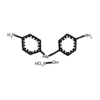 Nc1ccc(Nc2ccc(N)cc2)cc1.O=S(=O)(O)O